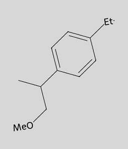 C[CH]c1ccc(C(C)COC)cc1